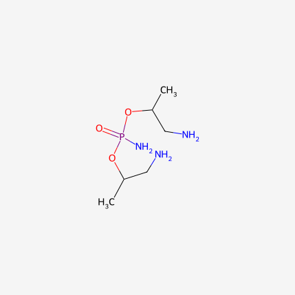 CC(CN)OP(N)(=O)OC(C)CN